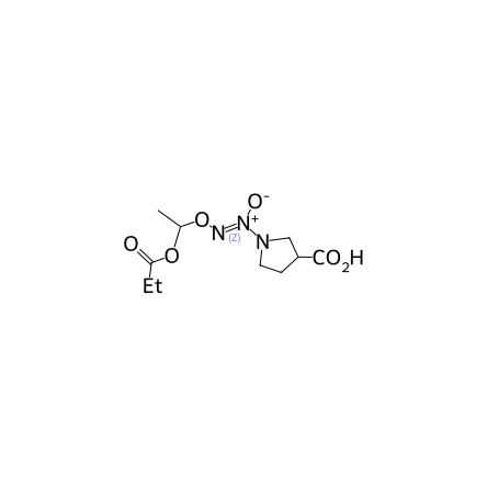 CCC(=O)OC(C)O/N=[N+](\[O-])N1CCC(C(=O)O)C1